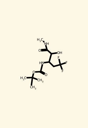 CNC(=O)C(O)C(CC(F)(F)F)NC(=O)OC(C)(C)C